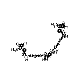 CN1Cc2c(Cl)cc(Cl)cc2[C@H](c2cccc(-c3cc(NCCOCCOCCOCCNC(=O)Nc4ccc(NC(=O)NCCOCCOCCOCCNc5cc(-c6cccc([C@@H]7CN(C)Cc8c(Cl)cc(Cl)cc87)c6)ncn5)cc4)ncn3)c2)C1.Cl